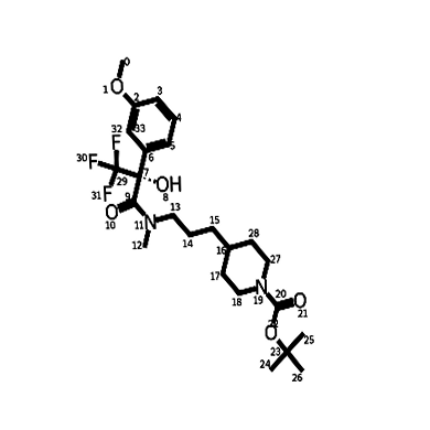 COc1cccc([C@@](O)(C(=O)N(C)CCCC2CCN(C(=O)OC(C)(C)C)CC2)C(F)(F)F)c1